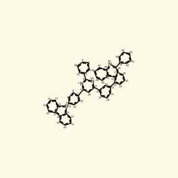 c1ccc(-c2nc(-c3ccc(-n4c5ccccc5c5ccccc54)cc3)cc(-c3cccc(-c4cccc5c(-c6ccccc6)nc6ccccc6c45)c3)n2)cc1